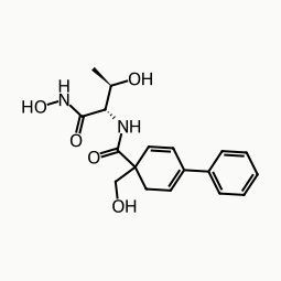 C[C@@H](O)[C@H](NC(=O)C1(CO)C=CC(c2ccccc2)=CC1)C(=O)NO